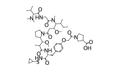 CCC(C)C(C(CC(=O)N1CCCC1C(OC)C(C)C(=O)N[C@@H](Cc1ccc(OCC(=O)N2CCC(C(=O)O)C2)cc1)C(=O)NSC1CC1)OC)N(C)C(=O)CNC(=O)C(C(C)C)N(C)C